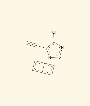 C#Cc1nsnc1Cl.c1cc2ccc1-2